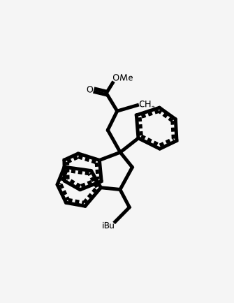 CCC(C)CC(CC(CC(C)C(=O)OC)(c1ccccc1)c1ccccc1)c1ccccc1